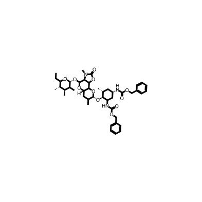 CCC1O[C@H](OC2O[C@H]3CC(C)[C@@H](O[C@@H]4C(NC(=O)OCc5ccccc5)C[C@@H](NC(=O)OCc5ccccc5)C[C@H]4C)OC3C3OC(=O)N(C)C23)C(C)[C@@H](C)[C@@H]1C